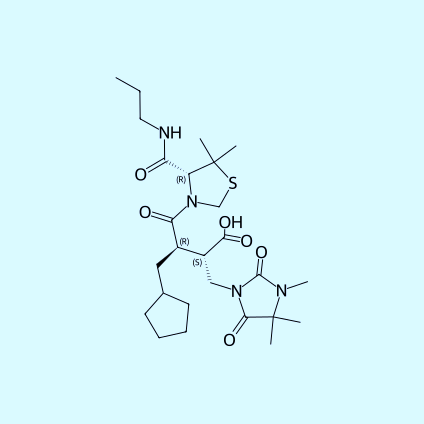 CCCNC(=O)[C@H]1N(C(=O)[C@H](CC2CCCC2)[C@@H](CN2C(=O)N(C)C(C)(C)C2=O)C(=O)O)CSC1(C)C